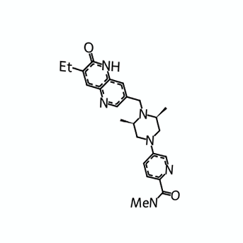 CCc1cc2ncc(CN3[C@H](C)CN(c4ccc(C(=O)NC)nc4)C[C@@H]3C)cc2[nH]c1=O